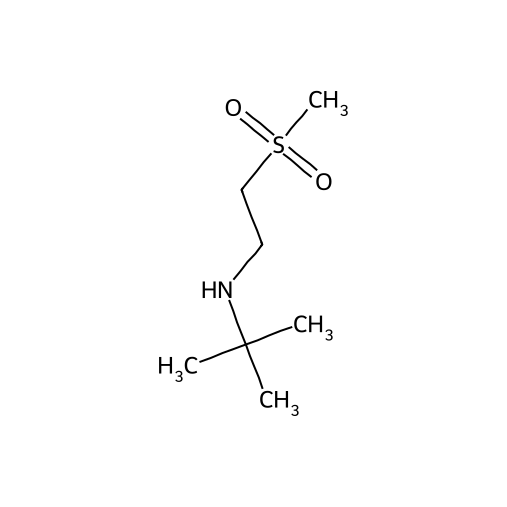 CC(C)(C)NCCS(C)(=O)=O